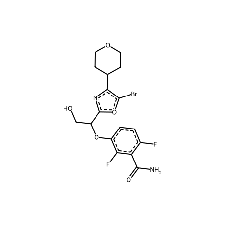 NC(=O)c1c(F)ccc(OC(CO)c2nc(C3CCOCC3)c(Br)o2)c1F